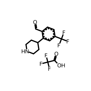 O=C(O)C(F)(F)F.O=Cc1ccc(C(F)(F)F)cc1C1CCNCC1